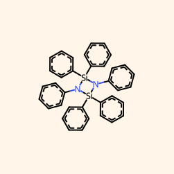 c1ccc(N2[Si](c3ccccc3)(c3ccccc3)N(c3ccccc3)[Si]2(c2ccccc2)c2ccccc2)cc1